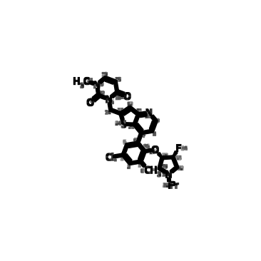 Cc1cc(Cl)cc(-c2ccnc3cc(Cn4c(=O)ccn(C)c4=O)sc23)c1O[C@@H]1CN(C(C)C)C[C@@H]1F